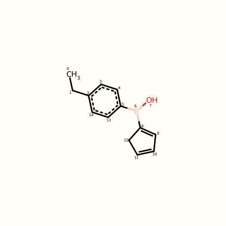 CCc1ccc(B(O)C2=CC=CC2)cc1